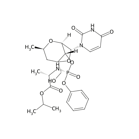 CC(C)OC(=O)[C@H](C)N[P@](=O)(Oc1ccccc1)O[C@H]1[C@H]2O[C@H](C)C[C@]1(CO)O[C@H]2n1ccc(=O)[nH]c1=O